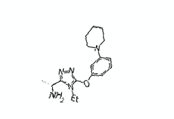 CCn1c(Oc2cccc(N3CCCCC3)c2)nnc1[C@@H](C)N